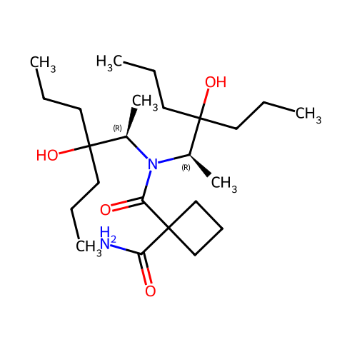 CCCC(O)(CCC)[C@@H](C)N(C(=O)C1(C(N)=O)CCC1)[C@H](C)C(O)(CCC)CCC